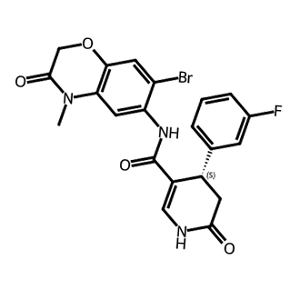 CN1C(=O)COc2cc(Br)c(NC(=O)C3=CNC(=O)C[C@H]3c3cccc(F)c3)cc21